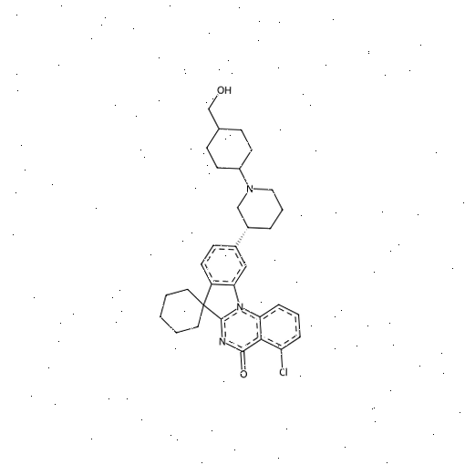 O=c1nc2n(c3cccc(Cl)c13)-c1cc([C@H]3CCCN(C4CCC(CO)CC4)C3)ccc1C21CCCCC1